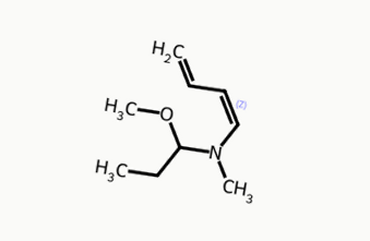 C=C/C=C\N(C)C(CC)OC